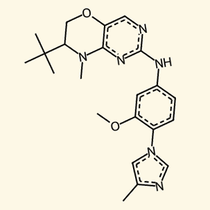 COc1cc(Nc2ncc3c(n2)N(C)C(C(C)(C)C)CO3)ccc1-n1cnc(C)c1